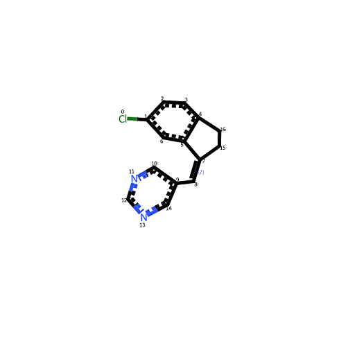 Clc1ccc2c(c1)/C(=C\c1cncnc1)CC2